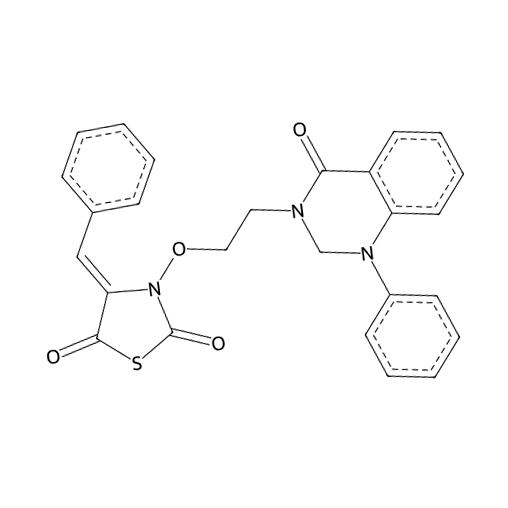 O=C1SC(=O)N(OCCN2CN(c3ccccc3)c3ccccc3C2=O)C1=Cc1ccccc1